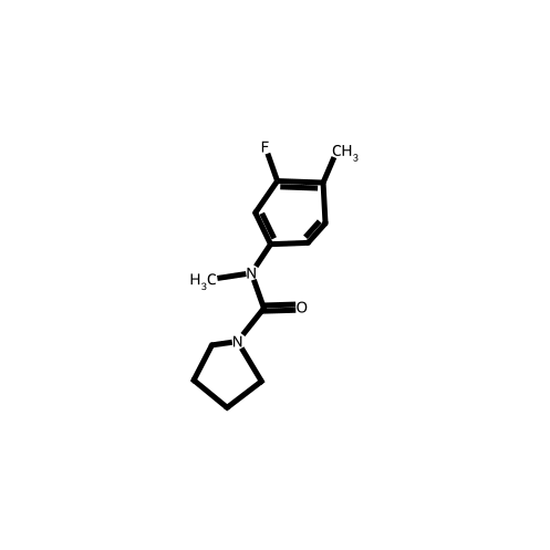 Cc1ccc(N(C)C(=O)N2CCCC2)cc1F